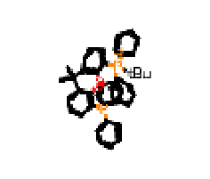 CC1(C)c2cccc(P(c3ccccc3)c3ccccc3)c2Oc2c1cccc2[PH](c1ccccc1)(c1ccccc1)C(C)(C)C